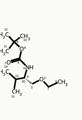 CCOC[C@@H](NC(=O)OC(C)(C)C)C(C)C